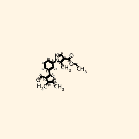 CCOC(=O)c1cnn(-c2cccc(-c3sc(C)c(C)c3C=O)c2)c1C